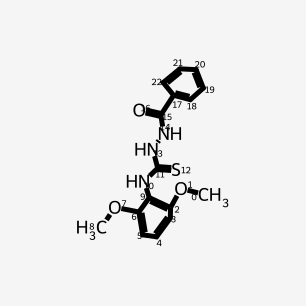 COc1cccc(OC)c1NC(=S)NNC(=O)c1ccccc1